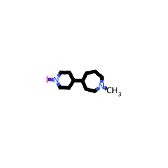 CN1CCCC(C2CCN(I)CC2)CC1